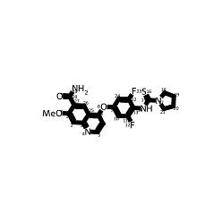 COc1cc2nccc(Oc3cc(F)c(NC(=S)N4CCCC4)c(F)c3)c2cc1C(N)=O